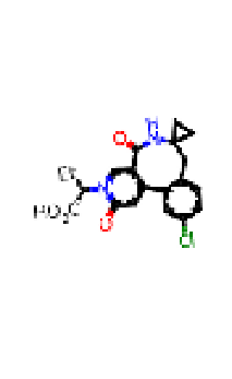 CCC(C(=O)O)n1cc2c(cc1=O)-c1cc(Cl)ccc1CC1(CC1)NC2=O